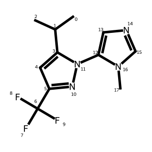 CC(C)c1cc(C(F)(F)F)nn1-c1cncn1C